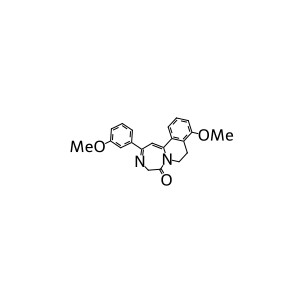 COc1cccc(C2=NCC(=O)N3CCc4c(OC)cccc4C3=C2)c1